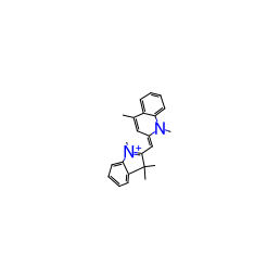 CC1=C/C(=C\C2=[N+](C)c3ccccc3C2(C)C)N(C)c2ccccc21